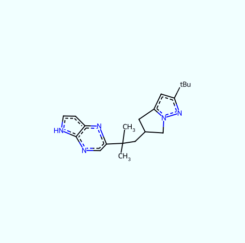 CC(C)(C)c1cc2n(n1)CC(CC(C)(C)c1cnc3[nH]ccc3n1)C2